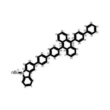 CCCCn1c2ccccc2c2cc(-c3ccc(-c4ccc(-c5c6ccccc6c(-c6ccc(-c7ccccc7)cc6)c6ccccc56)cc4)cc3)ccc21